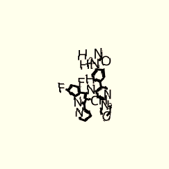 Cc1c(-c2ccccn2)nc2cc(F)cc(F)c2c1Nc1cc(N2CCOCC2)ncc1-c1ccc(NC(N)=O)cc1